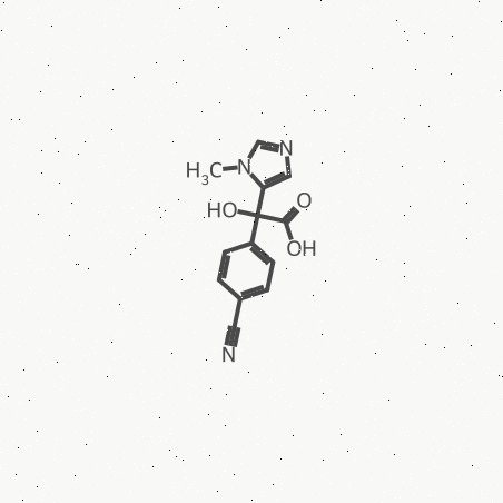 Cn1cncc1C(O)(C(=O)O)c1ccc(C#N)cc1